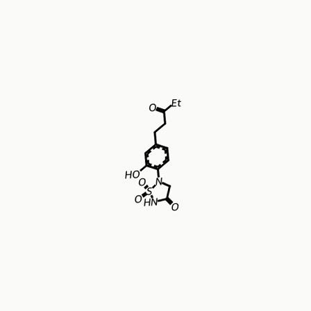 CCC(=O)CCc1ccc(N2CC(=O)NS2(=O)=O)c(O)c1